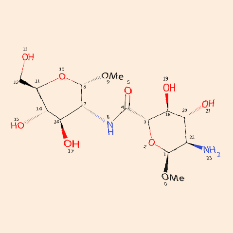 CO[C@H]1O[C@H](C(=O)N[C@H]2[C@@H](OC)O[C@H](CO)[C@@H](O)[C@@H]2O)[C@@H](O)[C@H](O)[C@H]1N